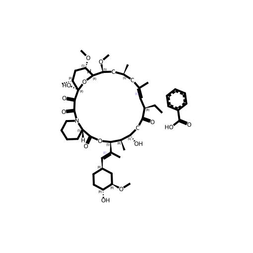 CC[C@@H]1/C=C(\C)C[C@H](C)C[C@H](OC)[C@H]2O[C@@](O)(C(=O)C(=O)N3CCCC[C@H]3C(=O)O[C@H](/C(C)=C/[C@@H]3CC[C@@H](O)[C@H](OC)C3)[C@H](C)[C@@H](O)CC1=O)[C@H](C)C[C@@H]2OC.O=C(O)c1ccccc1